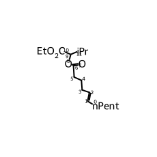 CCCCC/C=C/CCCC(=O)OC(C(=O)OCC)C(C)C